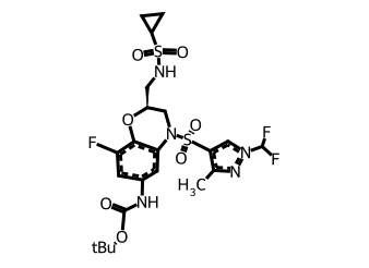 Cc1nn(C(F)F)cc1S(=O)(=O)N1C[C@H](CNS(=O)(=O)C2CC2)Oc2c(F)cc(NC(=O)OC(C)(C)C)cc21